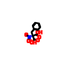 O=C(O)C(Cc1ccccc1)(C(=O)O)[N+](=O)[O-]